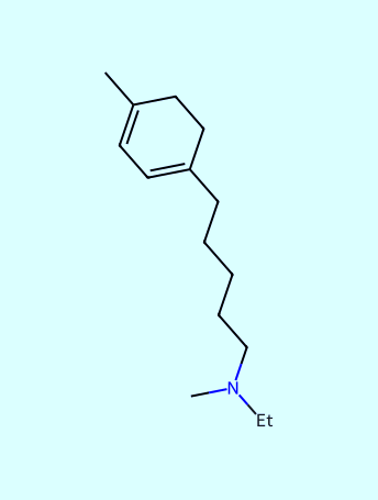 CCN(C)CCCCCC1=CC=C(C)CC1